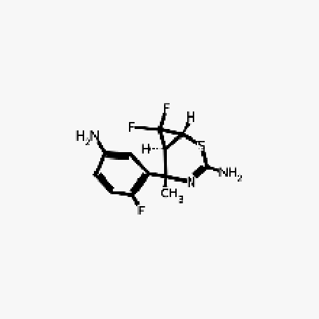 C[C@]1(c2cc(N)ccc2F)N=C(N)S[C@@H]2[C@@H]1C2(F)F